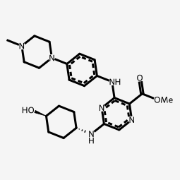 COC(=O)c1ncc(N[C@H]2CC[C@H](O)CC2)nc1Nc1ccc(N2CCN(C)CC2)cc1